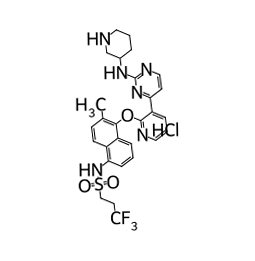 Cc1ccc2c(NS(=O)(=O)CCC(F)(F)F)cccc2c1Oc1ncccc1-c1ccnc(NC2CCCNC2)n1.Cl